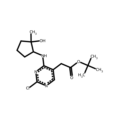 CC(C)(C)OC(=O)Cc1cnc(Cl)nc1NC1CCCC1(C)O